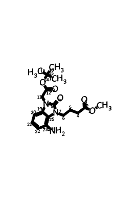 COC(=O)CCCn1c(=O)n(CC(=O)OC(C)(C)C)c2cccc(N)c21